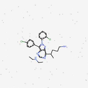 CC(CCCN)c1ncnc2c(-c3ccc(Cl)cc3)n(-c3ccccc3Cl)nc12.CCNCC